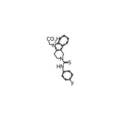 O=C(O)Cn1c2c(c3ccccc31)CN(C(=S)Nc1ccc(F)cc1)CC2